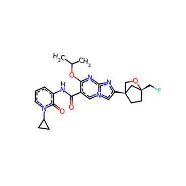 CC(C)Oc1nc2nc([C@]34CC[C@](CF)(C3)OC4)cn2cc1C(=O)Nc1cccn(C2CC2)c1=O